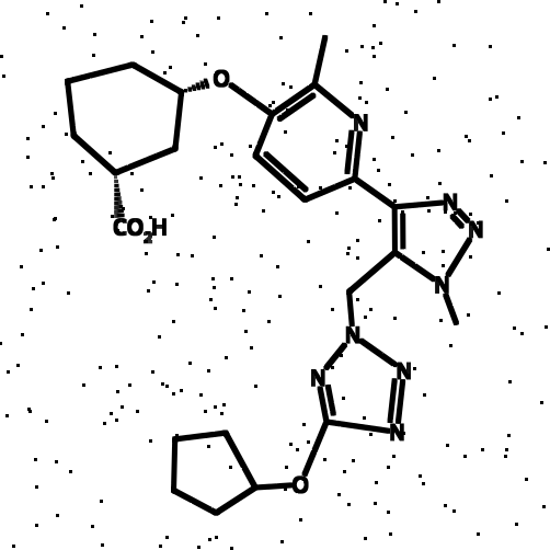 Cc1nc(-c2nnn(C)c2Cn2nnc(OC3CCCC3)n2)ccc1O[C@H]1CCC[C@@H](C(=O)O)C1